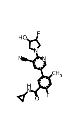 Cc1cc(F)c(C(=O)NC2CC2)cc1-c1cnc(N2CC(O)C(F)C2)c(C#N)c1